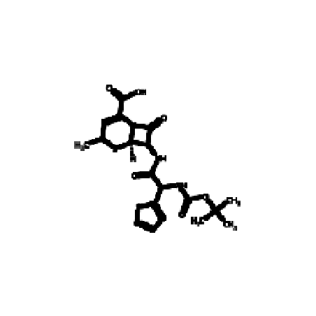 CC1C=C(C(=O)O)N2C(=O)C(NC(=O)C(NC(=O)OC(C)(C)C)c3cccs3)[C@H]2S1